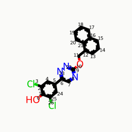 Oc1c(Cl)cc(-c2cnc(OCc3cccc4ccccc34)nn2)cc1Cl